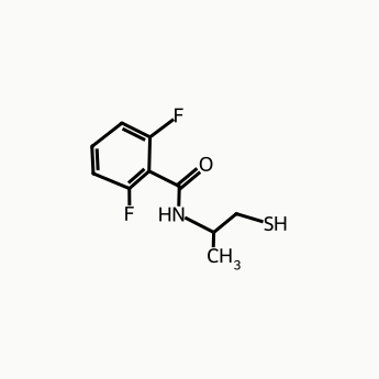 CC(CS)NC(=O)c1c(F)cccc1F